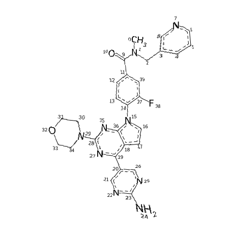 CN(Cc1cccnc1)C(=O)c1ccc(-n2ccc3c(-c4cnc(N)nc4)nc(N4CCOCC4)nc32)c(F)c1